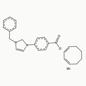 C1=C\CCCC\C=C/1.O=[N+]([O-])c1ccc(N2C=CN(Cc3ccccc3)C2)cc1.[Rh]